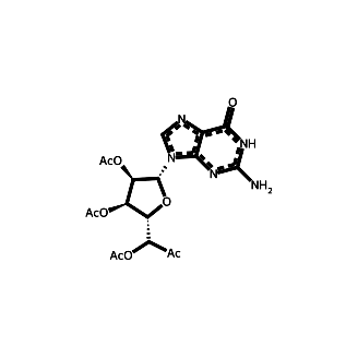 CC(=O)OC(C(C)=O)[C@H]1O[C@@H](n2cnc3c(=O)[nH]c(N)nc32)[C@H](OC(C)=O)[C@@H]1OC(C)=O